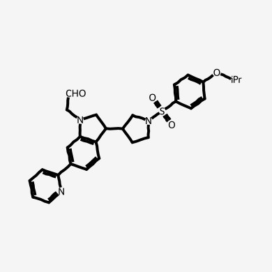 CC(C)Oc1ccc(S(=O)(=O)N2CCC(C3CN(CC=O)c4cc(-c5ccccn5)ccc43)C2)cc1